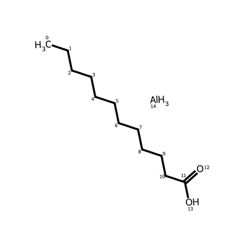 CCCCCCCCCCCC(=O)O.[AlH3]